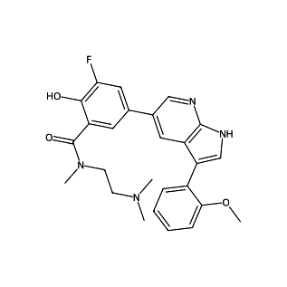 COc1ccccc1-c1c[nH]c2ncc(-c3cc(F)c(O)c(C(=O)N(C)CCN(C)C)c3)cc12